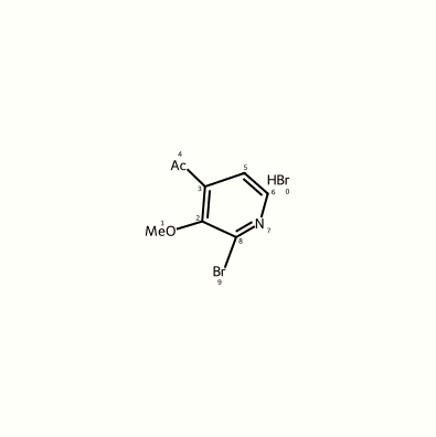 Br.COc1c(C(C)=O)ccnc1Br